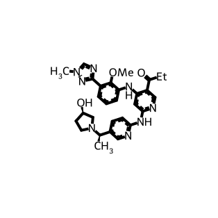 CCC(=O)c1cnc(Nc2ccc([C@@H](C)N3CC[C@@H](O)C3)cn2)cc1Nc1cccc(-c2ncn(C)n2)c1OC